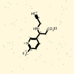 C#CCNC(CC(=O)OCC)c1ccc(C(F)(F)F)nc1